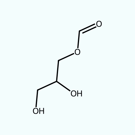 O=COCC(O)CO